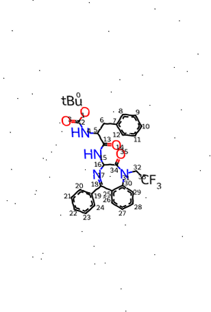 CC(C)(C)OC(=O)NC(Cc1ccccc1)C(=O)NC1N=C(c2ccccc2)c2ccccc2N(CC(F)(F)F)C1=O